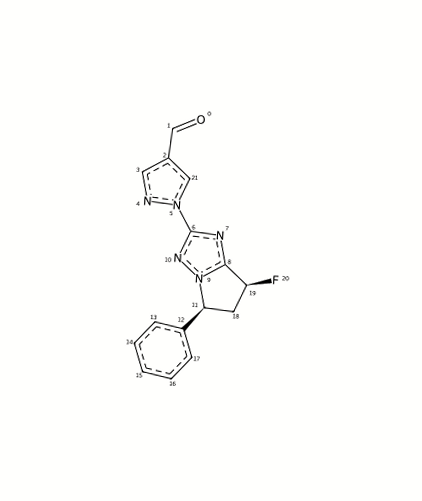 O=Cc1cnn(-c2nc3n(n2)[C@H](c2ccccc2)C[C@@H]3F)c1